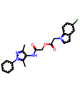 Cc1nn(-c2ccccc2)c(C)c1NC(=O)COC(=O)Cn1ccc2cc(F)ccc21